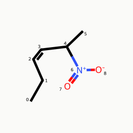 CC/C=C\C(C)[N+](=O)[O-]